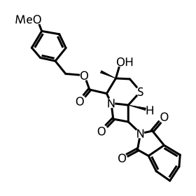 COc1ccc(COC(=O)C2N3C(=O)C(N4C(=O)c5ccccc5C4=O)[C@H]3SC[C@@]2(C)O)cc1